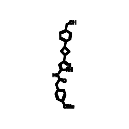 COc1ccc(CC(=O)Nc2cc(C3CC(c4ccc(CO)cc4)C3)n[nH]2)cc1